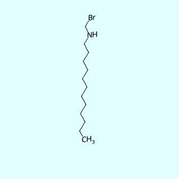 CCCCCCCCCCCCNCBr